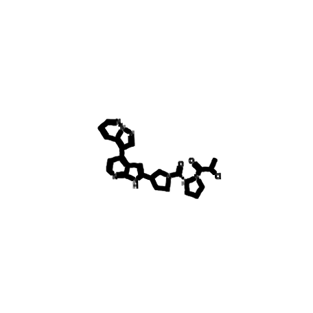 CC(Cl)C(=O)N1CCC[C@@H]1C(=O)N1CCC(c2cc3c(-c4cnn5ncccc45)ccnc3[nH]2)C1